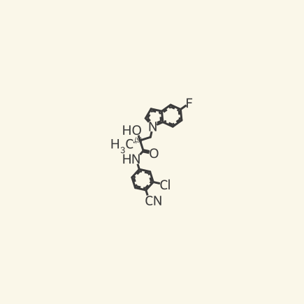 C[C@](O)(Cn1ccc2cc(F)ccc21)C(=O)Nc1ccc(C#N)c(Cl)c1